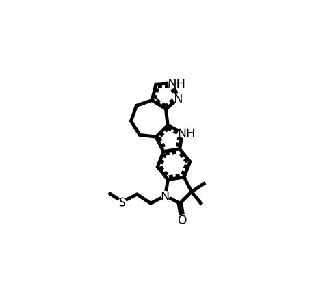 CSCCN1C(=O)C(C)(C)c2cc3[nH]c4c(c3cc21)CCCc1c[nH]nc1-4